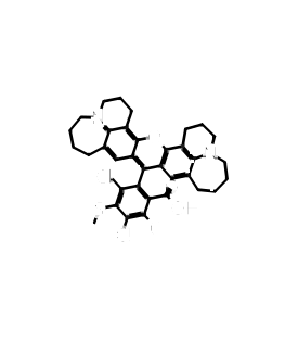 CSc1c(Cl)c(Cl)c(C(=O)O)c(C2=c3cc4c5c(c3Oc3c2cc2c6c3CCCN6CCCC2)CCC[N+]=5CCCC4)c1Cl